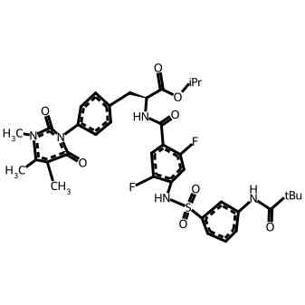 Cc1c(C)n(C)c(=O)n(-c2ccc(C[C@H](NC(=O)c3cc(F)c(NS(=O)(=O)c4cccc(NC(=O)C(C)(C)C)c4)cc3F)C(=O)OC(C)C)cc2)c1=O